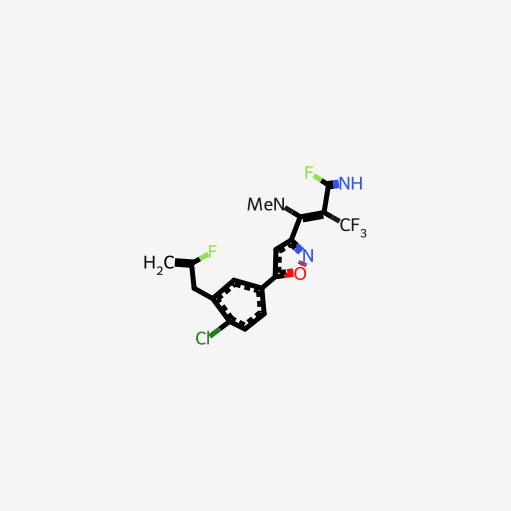 C=C(F)Cc1cc(-c2cc(/C(NC)=C(/C(=N)F)C(F)(F)F)no2)ccc1Cl